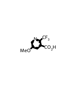 COc1cnc(C(F)(F)F)c(C(=O)O)c1